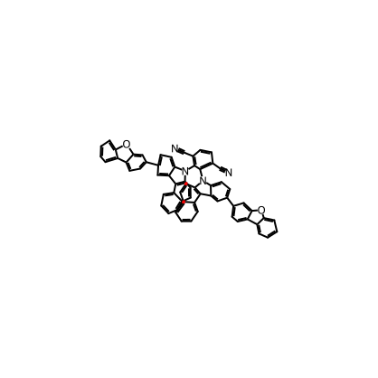 N#Cc1ccc(C#N)c(-n2c3ccc(-c4ccc5c(c4)oc4ccccc45)cc3c3c4ccccc4ccc32)c1-n1c2ccc(-c3ccc4c(c3)oc3ccccc34)cc2c2c3ccccc3ccc21